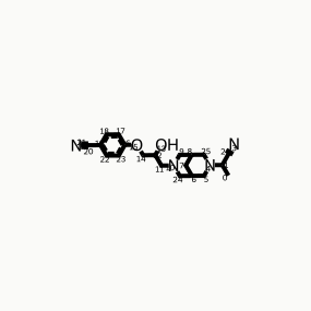 CC(C#N)N1CC2CC(CN(CC(O)COc3ccc(C#N)cc3)C2)C1